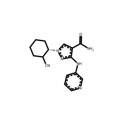 N#CC1CCCC[C@@H]1n1cc(C(N)=O)c(Nc2cccnc2)n1